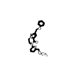 COCc1cccc(N2CCn3nc(COc4ccccc4)cc3C2=O)n1